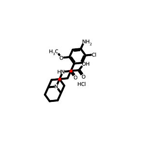 COc1cc(N)c(Cl)cc1C(=O)NC1CC2CCCC(C1)N2CCCC(=O)O.Cl